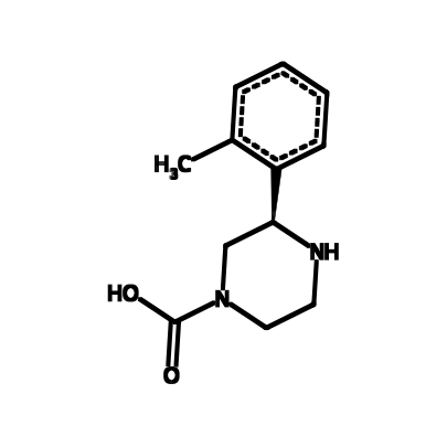 Cc1ccccc1[C@@H]1CN(C(=O)O)CCN1